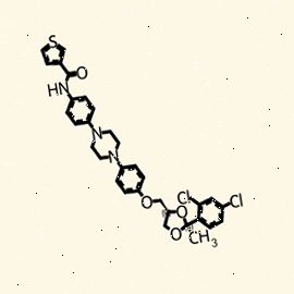 C[C@]1(c2ccc(Cl)cc2Cl)OC[C@@H](COc2ccc(N3CCN(c4ccc(NC(=O)c5ccsc5)cc4)CC3)cc2)O1